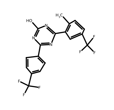 Cc1ccc(C(F)(F)F)cc1-c1nc(O)nc(-c2ccc(C(F)(F)F)cc2)n1